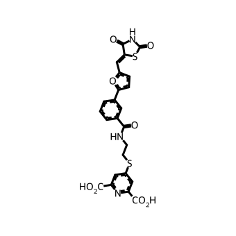 O=C1NC(=O)C(=Cc2ccc(-c3cccc(C(=O)NCCSc4cc(C(=O)O)nc(C(=O)O)c4)c3)o2)S1